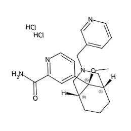 CO[C@]1(c2ccnc(C(N)=O)c2)[C@@H]2CCC[C@H]1CN(Cc1cccnc1)C2.Cl.Cl